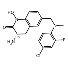 CN(Cc1ccc2c(c1)C[C@H](N)C(=O)N2O)c1ccc(Cl)cc1F